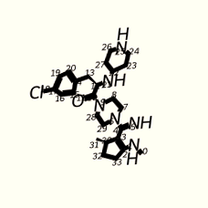 CNC1=C(C(=N)N2CCN(C(=O)[C@@H](Cc3ccc(Cl)cc3)NC3CCNCC3)CC2)[C@H](C)CC1